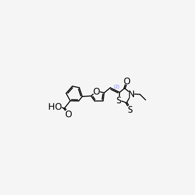 CCN1C(=O)/C(=C/c2ccc(-c3cccc(C(=O)O)c3)o2)SC1=S